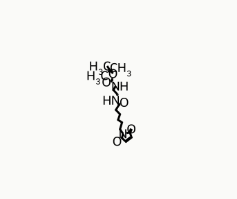 CC(C)(C)OC(=O)NCCNC(=O)CCCCCN1C(=O)C=CC1=O